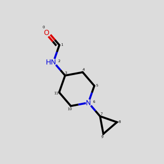 O=CNC1CCN(C2CC2)CC1